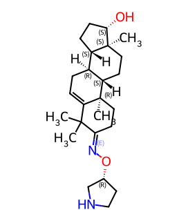 CC1(C)C2=CC[C@H]3[C@@H]4CC[C@H](O)[C@@]4(C)CC[C@@H]3[C@@]2(C)CC/C1=N\O[C@@H]1CCNC1